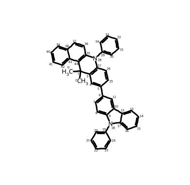 CC1(C)c2cc(-c3ccc4c(c3)c3ccccc3n4-c3ccccc3)ccc2N(c2ccccc2)c2ccc3ccccc3c21